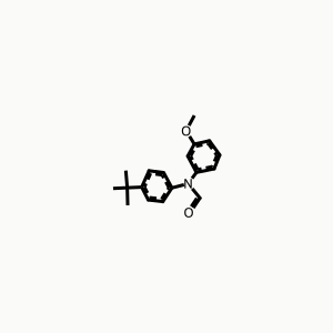 COc1cccc(N(C=O)c2ccc(C(C)(C)C)cc2)c1